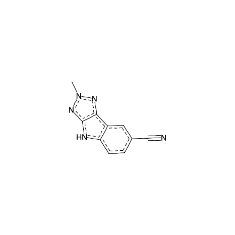 Cn1nc2[nH]c3ccc(C#N)cc3c2n1